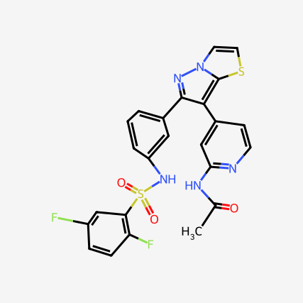 CC(=O)Nc1cc(-c2c(-c3cccc(NS(=O)(=O)c4cc(F)ccc4F)c3)nn3ccsc23)ccn1